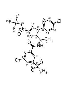 CC(NC(=O)c1cc(Cl)cc(S(C)(=O)=O)c1)c1nc([S+]([O-])CC(F)(F)F)nn1-c1ccc(Cl)cn1